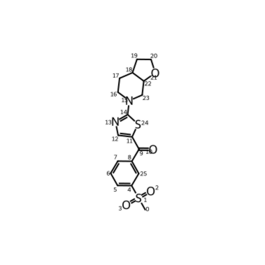 CS(=O)(=O)c1cccc(C(=O)c2cnc(N3CCC4CCOC4C3)s2)c1